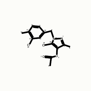 CC(=O)Oc1c(C)nn(Cc2ccc(C)c(Cl)c2)c1Cl